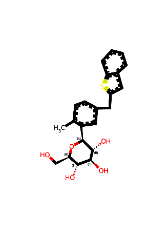 Cc1ccc(Cc2cc3ccccc3s2)cc1[C@@H]1O[C@H](CO)[C@@H](O)[C@H](O)[C@H]1O